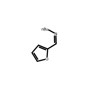 CCCC/N=C\c1ccco1